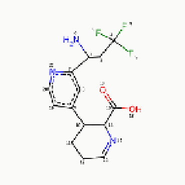 NC(CC(F)(F)F)c1cc(C2CCC=NC2C(=O)O)ccn1